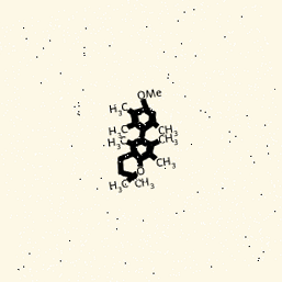 COc1cc(C)c(-c2c(C)c(C)c3c(c2C)CCC(C)(C)O3)c(C)c1C